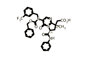 C[C@@]1(CC(=O)O)C[C@@H](C(=O)Nc2ccccc2)n2c1ncc(N(Cc1cccc(C(F)(F)F)c1)C(=O)OCc1ccccc1)c2=O